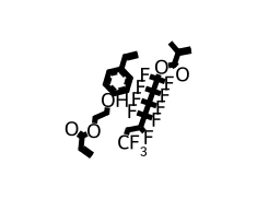 C=C(C)C(=O)OC(F)(F)C(F)(F)C(F)(F)C(F)(F)C(F)CC(F)(F)F.C=CC(=O)OCCO.C=Cc1ccccc1